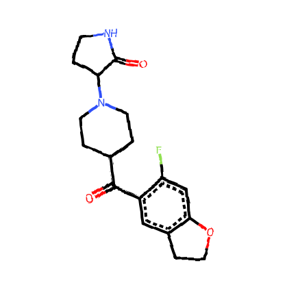 O=C(c1cc2c(cc1F)OCC2)C1CCN(C2CCNC2=O)CC1